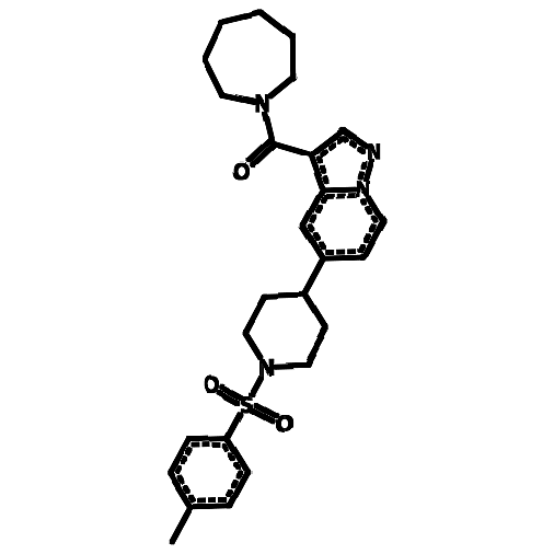 Cc1ccc(S(=O)(=O)N2CCC(c3ccn4ncc(C(=O)N5CCCCCC5)c4c3)CC2)cc1